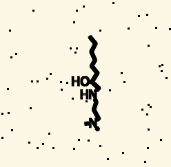 CCCCCCC(O)CNCCCN(C)C